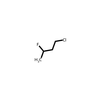 CC(F)CCCl